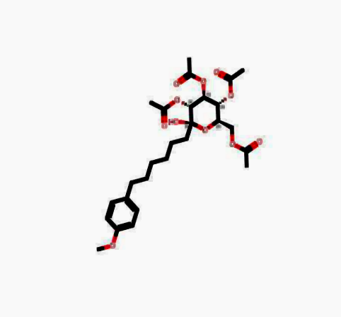 COc1ccc(CCCCCC[C@@]2(O)O[C@H](COC(C)=O)[C@@H](OC(C)=O)[C@H](OC(C)=O)[C@H]2OC(C)=O)cc1